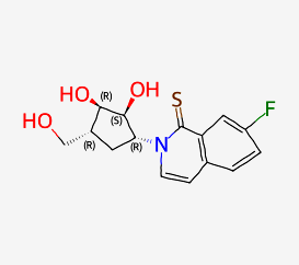 OC[C@H]1C[C@@H](n2ccc3ccc(F)cc3c2=S)[C@H](O)[C@@H]1O